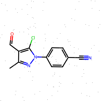 Cc1nn(-c2ccc(C#N)cc2)c(Cl)c1C=O